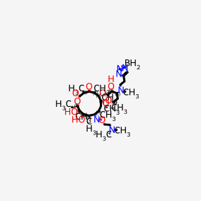 Bn1cc(CCN(C)[C@H]2C[C@@H](C)O[C@@H](O[C@@H]3[C@@H](C)C(=O)[C@@H](C)C(=O)O[C@H](CC)[C@@](C)(O)[C@H](O)[C@H](C)/C(=N/OCCN(C)C)[C@H](C)C[C@@]3(C)OC)[C@@H]2O)nn1